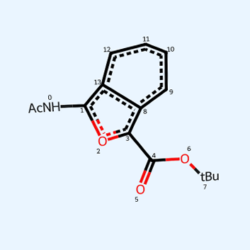 CC(=O)Nc1oc(C(=O)OC(C)(C)C)c2ccccc12